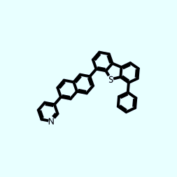 c1ccc(-c2cccc3c2sc2c(-c4ccc5cc(-c6cccnc6)ccc5c4)cccc23)cc1